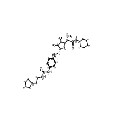 CCN1C(=O)[C@@H](CNc2ccc(NC(=O)NCCN3CCCC3)cc2)SC1[C@H](N)C(=O)NC1CCCCC1